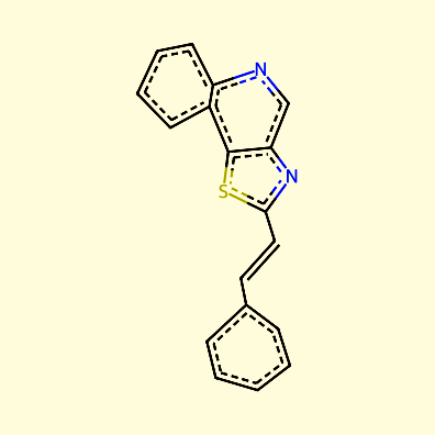 C(=Cc1nc2cnc3ccccc3c2s1)c1ccccc1